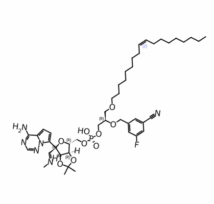 CCCCCCCC/C=C\CCCCCCCCOC[C@H](COP(=O)(O)OC[C@H]1O[C@@](C=NC)(c2ccc3c(N)ncnn23)[C@@H]2OC(C)(C)O[C@@H]21)OCc1cc(F)cc(C#N)c1